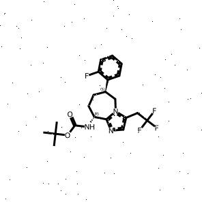 CC(C)(C)OC(=O)N[C@@H]1CC[C@@H](c2ccccc2F)Cn2c(CC(F)(F)F)cnc21